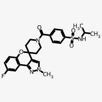 CC(C)NS(=O)(=O)c1ccc(C(=O)N2CCC3(CC2)Oc2ccc(F)cc2-c2nn(C)cc23)cc1